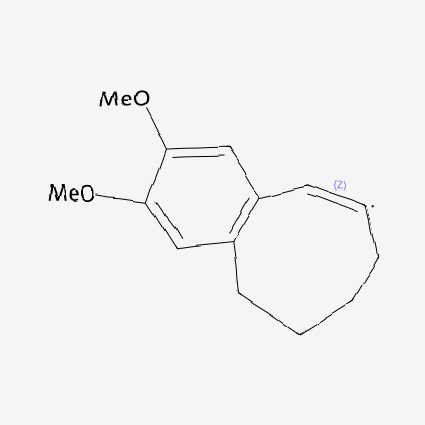 COc1cc2c(cc1OC)CCCC/[C]=C\2